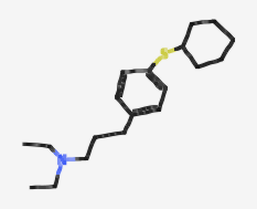 CCN(CC)CCCc1ccc(SC2CCCCC2)cc1